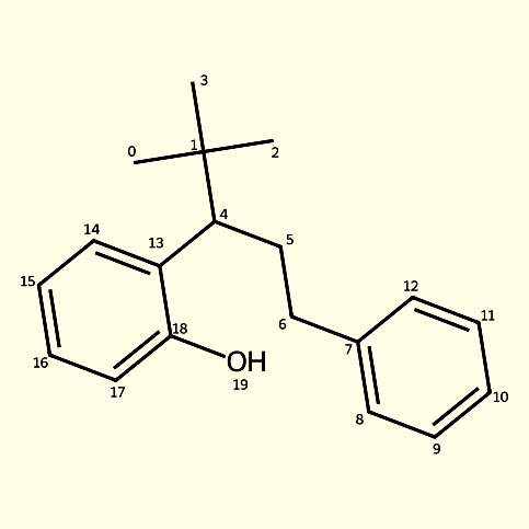 CC(C)(C)C(CCc1ccccc1)c1ccccc1O